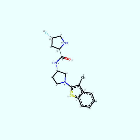 N#Cc1c(N2CC[C@H](NC(=O)[C@@H]3C[C@H](F)CN3)C2)sc2ccccc12